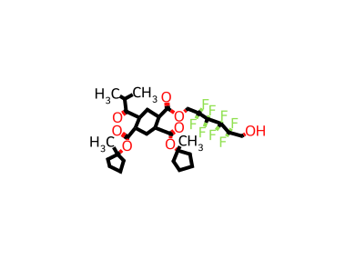 CC(C)C(=O)C1CC(C(=O)OCC(F)(F)C(F)(F)C(F)(F)C(F)(F)CO)C(C(=O)OC2(C)CCCC2)CC1C(=O)OC1(C)CCCC1